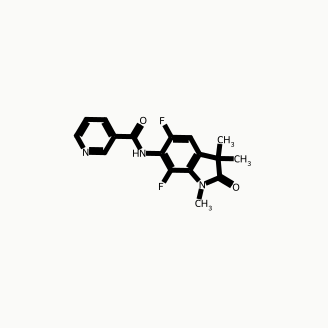 CN1C(=O)C(C)(C)c2cc(F)c(NC(=O)c3cccnc3)c(F)c21